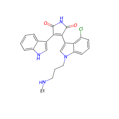 CCNCCCn1cc(C2=C(c3c[nH]c4ccccc34)C(=O)NC2=O)c2c(Cl)cccc21